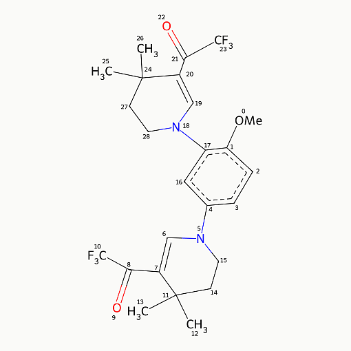 COc1ccc(N2C=C(C(=O)C(F)(F)F)C(C)(C)CC2)cc1N1C=C(C(=O)C(F)(F)F)C(C)(C)CC1